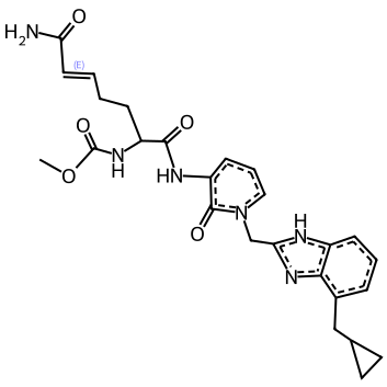 COC(=O)NC(CC/C=C/C(N)=O)C(=O)Nc1cccn(Cc2nc3c(CC4CC4)cccc3[nH]2)c1=O